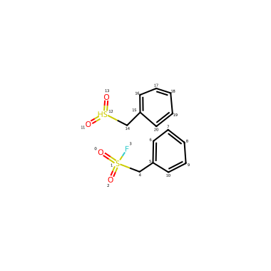 O=S(=O)(F)Cc1ccccc1.O=[SH](=O)Cc1ccccc1